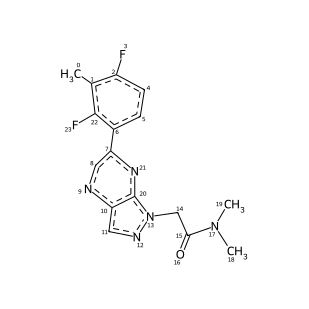 Cc1c(F)ccc(-c2cnc3cnn(CC(=O)N(C)C)c3n2)c1F